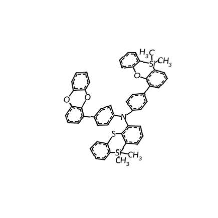 C[Si]1(C)c2ccccc2Oc2c(-c3ccc(N(c4ccc(-c5cccc6c5Oc5ccccc5O6)cc4)c4cccc5c4Sc4ccccc4[Si]5(C)C)cc3)cccc21